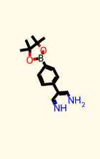 CC1(C)OB(c2ccc(/C(C=N)=C/N)cc2)OC1(C)C